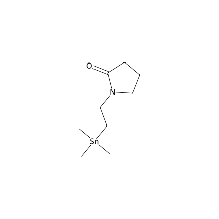 [CH3][Sn]([CH3])([CH3])[CH2]CN1CCCC1=O